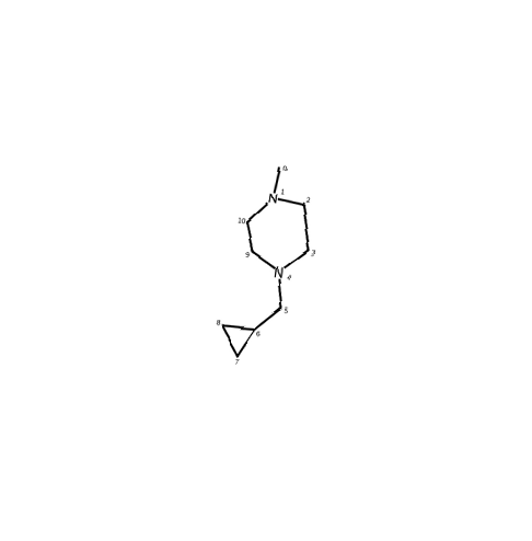 CN1CCN(CC2CC2)CC1